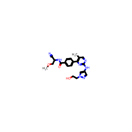 COCC(C#N)NC(=O)c1ccc(-c2nc(Nc3cnn(CCO)c3)ncc2C)cc1